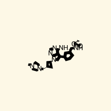 CN1CCN(C[C@H]2C[C@@H](n3cc(-c4cccc(CNS(C)(=O)=O)c4)c4c(N)ncnc43)C2)CC1